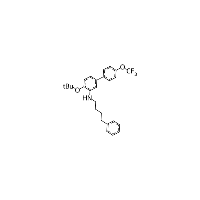 CC(C)(C)Oc1ccc(-c2ccc(OC(F)(F)F)cc2)cc1NCCCCc1ccccc1